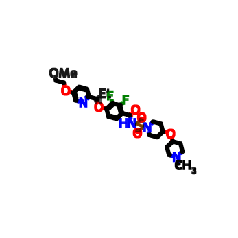 CC[C@@H](Oc1ccc(C(=O)NS(=O)(=O)N2CCC(OC3CCN(C)CC3)CC2)c(F)c1F)c1ccc(OCCOC)cn1